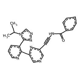 CC(C)n1cnnc1-c1cccnc1-c1cncc(C#CNC(=O)c2ccccc2)n1